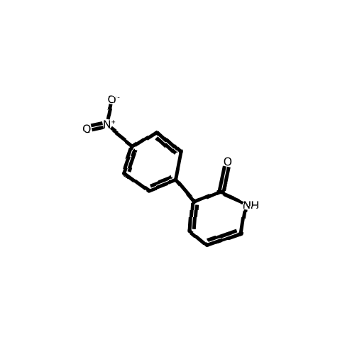 O=c1[nH]cccc1-c1ccc([N+](=O)[O-])cc1